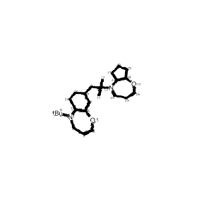 CC(C)(C)N1CCCOC2CC(CC(C)(C)N3CCCOC4CCCC43)CCC21